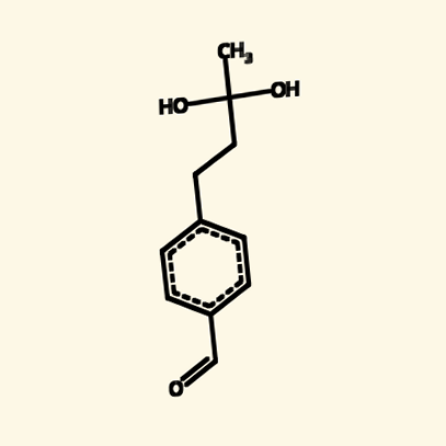 CC(O)(O)CCc1ccc(C=O)cc1